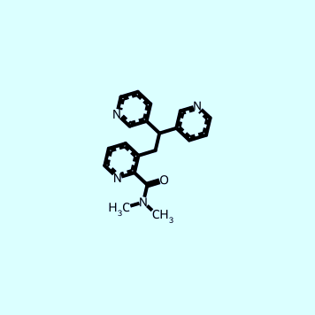 CN(C)C(=O)c1ncccc1CC(c1cccnc1)c1cccnc1